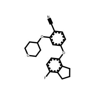 N#Cc1ccc(Oc2ccc(F)c3c2CCC3)cc1OC1CCOCC1